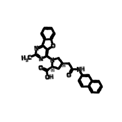 Cc1nc(N2C[C@@H](CC(=O)Nc3ccc4ccccc4c3)C[C@H]2C(=O)O)c2oc3ccccc3c2n1